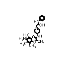 Cc1cc(OC(C)C(=O)NC2CCN(CC(O)Nc3ccccc3)CC2)c(C)c(C)c1N